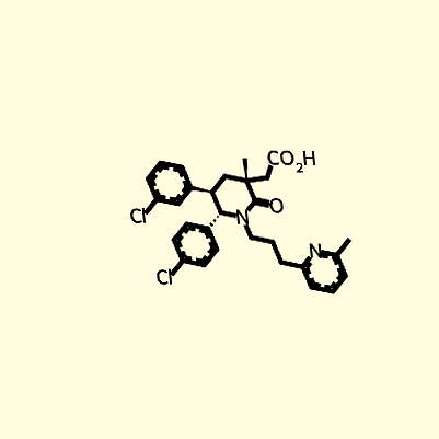 Cc1cccc(CCCN2C(=O)[C@@](C)(CC(=O)O)C[C@H](c3cccc(Cl)c3)[C@H]2c2ccc(Cl)cc2)n1